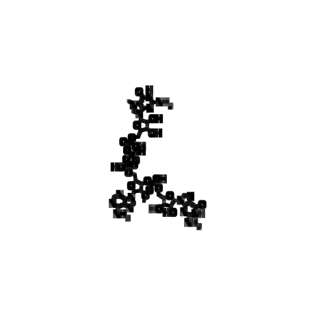 COC1C(OP(=O)(O)OCC2OC(n3cnc4c(=O)[nH]c(N)nc43)C(O)C2O)C(COP(=O)(O)OP(=O)(S)OP(=O)(O)OCC2OC(n3c[n+](C)c4c(=O)[nH]c(N)nc43)C(O)C2O)OC1n1cnc2c(N)ncnc21